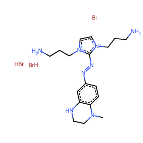 Br.Br.CN1CCNc2cc(/N=N/c3n(CCCN)cc[n+]3CCCN)ccc21.[Br-]